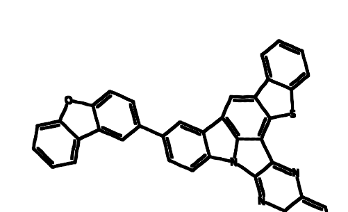 c1ccc2nc3c(nc2c1)c1c2sc4ccccc4c2cc2c4cc(-c5ccc6oc7ccccc7c6c5)ccc4n3c21